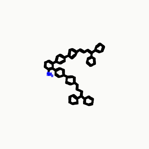 Nc1cccc(-c2ccc(-c3ccc(C=CC=C(c4ccccc4)c4ccccc4)cc3)cc2)c1-c1ccc(-c2ccc(C=CC=C(c3ccccc3)c3ccccc3)cc2)cc1